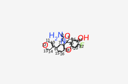 NC1=NC2(CO1)c1cc(C3=CCOCC3)ccc1Oc1cc(F)c(O)cc12